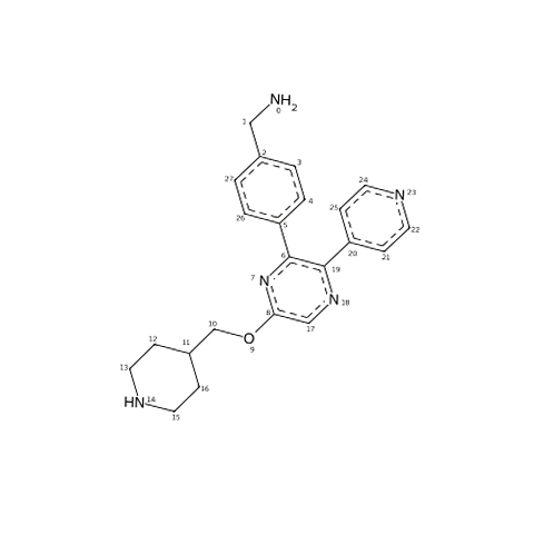 NCc1ccc(-c2nc(OCC3CCNCC3)cnc2-c2ccncc2)cc1